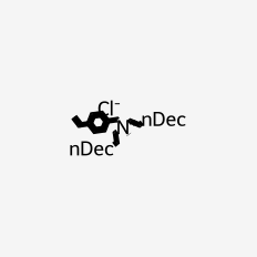 C=Cc1ccc(C[N+](C)(CCCCCCCCCCCC)CCCCCCCCCCCC)cc1.[Cl-]